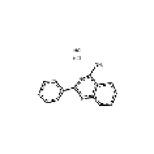 Cl.Cl.Nc1nc(-c2ccncc2)nc2ccccc12